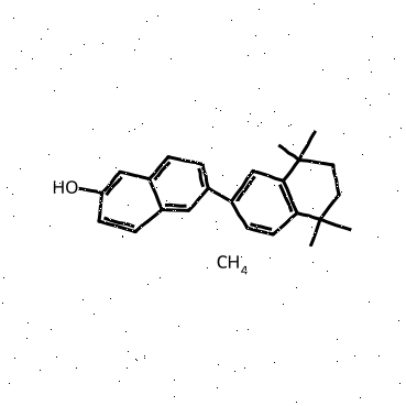 C.CC1(C)CCC(C)(C)c2cc(-c3ccc4cc(O)ccc4c3)ccc21